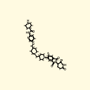 O=C1CCC(N2C(=O)c3cc(F)c(N4CCC(CN5CCC(COc6ccc(NC(=O)C7CCNCC7)nc6)CC5)CC4)cc3C2=O)C(=O)N1